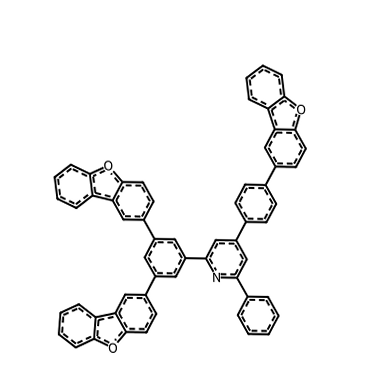 c1ccc(-c2cc(-c3ccc(-c4ccc5oc6ccccc6c5c4)cc3)cc(-c3cc(-c4ccc5oc6ccccc6c5c4)cc(-c4ccc5oc6ccccc6c5c4)c3)n2)cc1